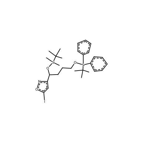 CC(C)(C)[Si](C)(C)OC(CCCO[Si](c1ccccc1)(c1ccccc1)C(C)(C)C)c1cc(I)on1